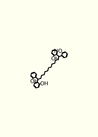 Oc1ccccc1C(CCCCCCCCCCCC(c1ccccc1O)c1ccccc1O)c1ccccc1O